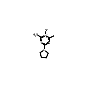 Cc1nc(N2CCCC2)nc(N)[n+]1[O-]